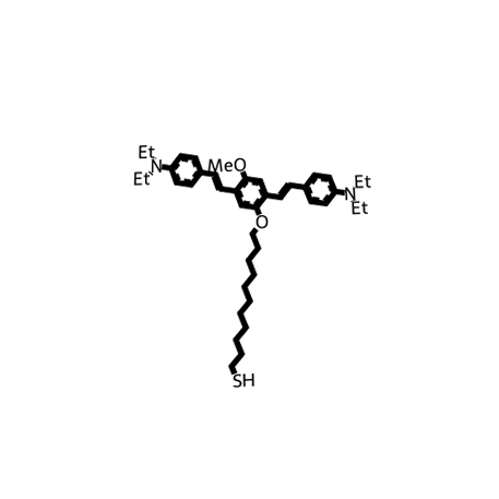 CCN(CC)c1ccc(/C=C/c2cc(OCCCCCCCCCCCS)c(/C=C/c3ccc(N(CC)CC)cc3)cc2OC)cc1